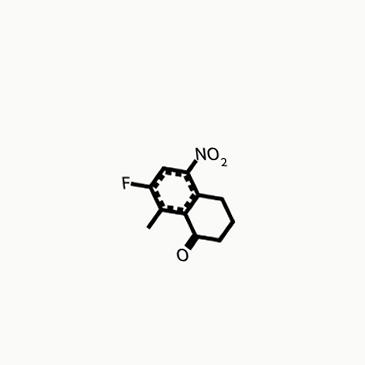 Cc1c(F)cc([N+](=O)[O-])c2c1C(=O)CCC2